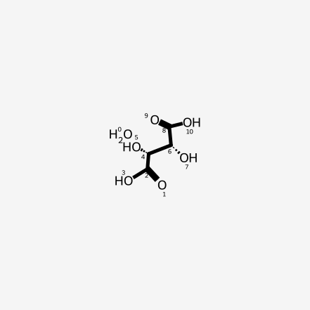 O.O=C(O)[C@H](O)[C@@H](O)C(=O)O